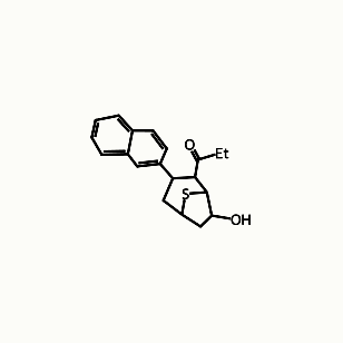 CCC(=O)C1C(c2ccc3ccccc3c2)CC2CC(O)C1S2